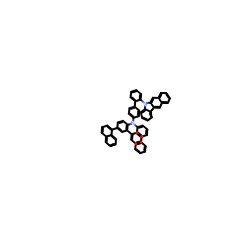 c1ccc(-c2cccc(N(c3ccc(-c4ccccc4-n4c5ccccc5c5cc6ccccc6cc54)cc3)c3ccc(-c4cccc5ccccc45)cc3-c3ccccc3)c2)cc1